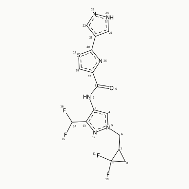 O=C(Nc1cn(CC2CC2(F)F)nc1C(F)F)c1csc(-c2cn[nH]c2)n1